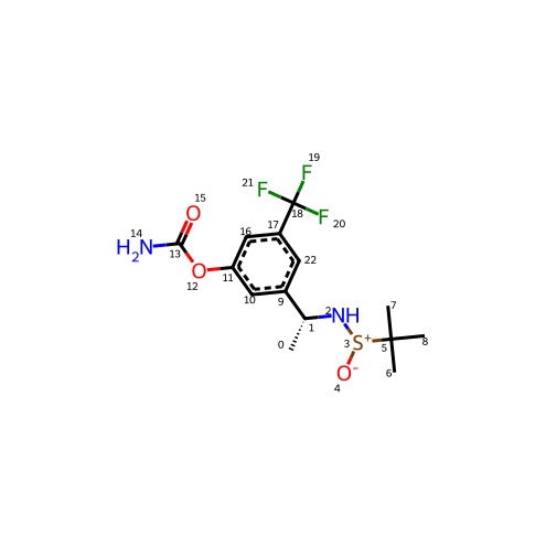 C[C@@H](N[S+]([O-])C(C)(C)C)c1cc(OC(N)=O)cc(C(F)(F)F)c1